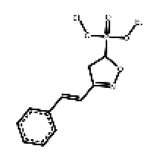 CCOP(=O)(OCC)C1CC(/C=C/c2ccccc2)=NO1